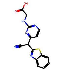 N#CC(c1ccnc(NCC(=O)O)n1)c1nc2ccccc2s1